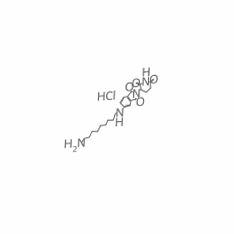 Cl.NCCCCCCCCCNc1ccc2c(c1)C(=O)N(C1CCC(=O)NC1=O)C2=O